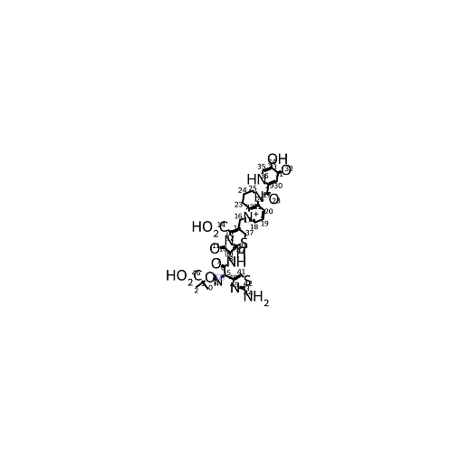 CC(C)(O/N=C(\C(=O)N[C@@H]1C(=O)N2C(C(=O)O)=C(C[n+]3cccc4c3CCCN4C(=O)c3cc(=O)c(O)c[nH]3)CS[C@H]12)c1csc(N)n1)C(=O)O